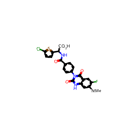 CNc1cc2[nH]c(=O)n(-c3ccc(C(=O)NC(C(=O)O)c4ccc(Cl)s4)cc3)c(=O)c2cc1F